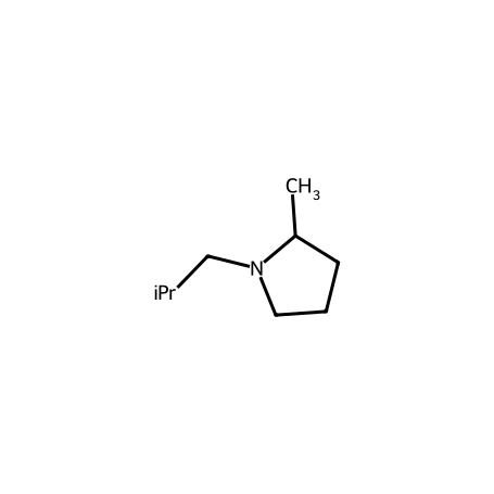 CC(C)CN1CCCC1C